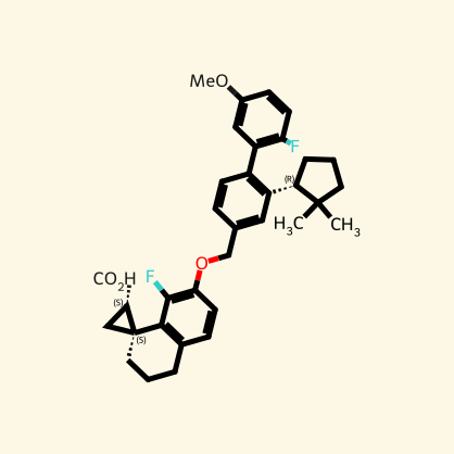 COc1ccc(F)c(-c2ccc(COc3ccc4c(c3F)[C@@]3(CCC4)C[C@@H]3C(=O)O)cc2[C@@H]2CCCC2(C)C)c1